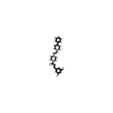 O=C(/C=C/c1cc(F)cc(F)c1)N1CCN(CCN2CCC(c3ccccc3)CC2)CC1